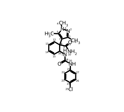 Cc1nn(C)c(C)c1C1(C(N)=O)C=CC=CC1NC(=O)Nc1ccc(Cl)cc1